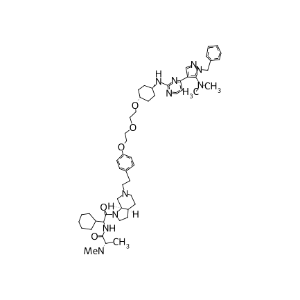 CN[C@@H](C)C(=O)NC(C(=O)N1CC[C@@H]2CCN(CCc3ccc(OCCOCCO[C@H]4CC[C@H](Nc5nccc(-c6cnn(Cc7ccccc7)c6N(C)C)n5)CC4)cc3)C[C@@H]21)C1CCCCC1